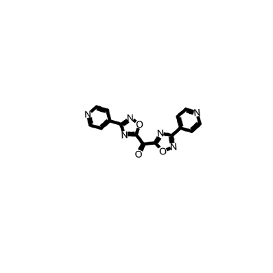 O=C(c1nc(-c2ccncc2)no1)c1nc(-c2ccncc2)no1